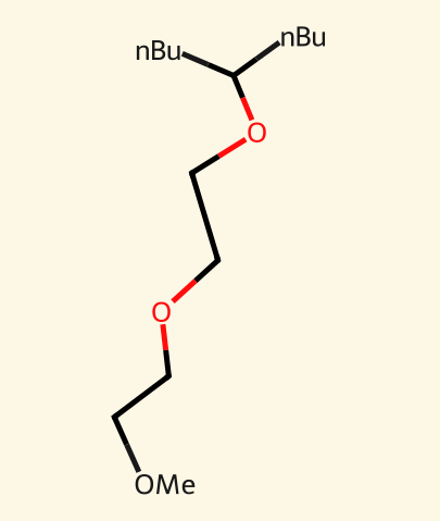 CCCCC(CCCC)OCCOCCOC